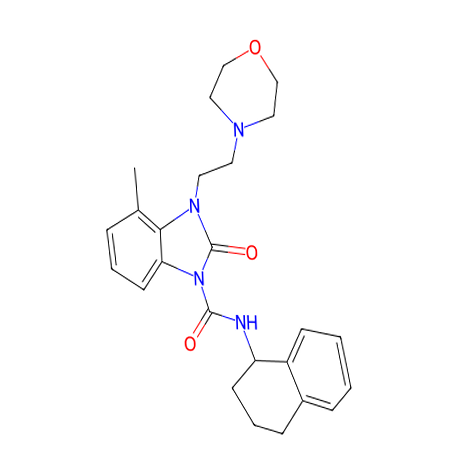 Cc1cccc2c1n(CCN1CCOCC1)c(=O)n2C(=O)NC1CCCc2ccccc21